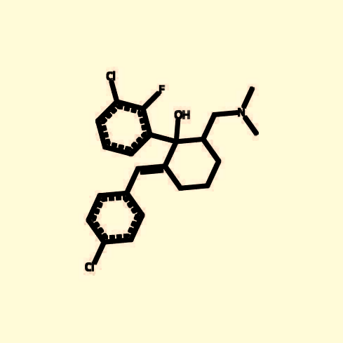 CN(C)CC1CCCC(=Cc2ccc(Cl)cc2)C1(O)c1cccc(Cl)c1F